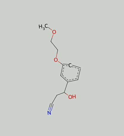 COCCOc1cccc(C(O)CC#N)c1